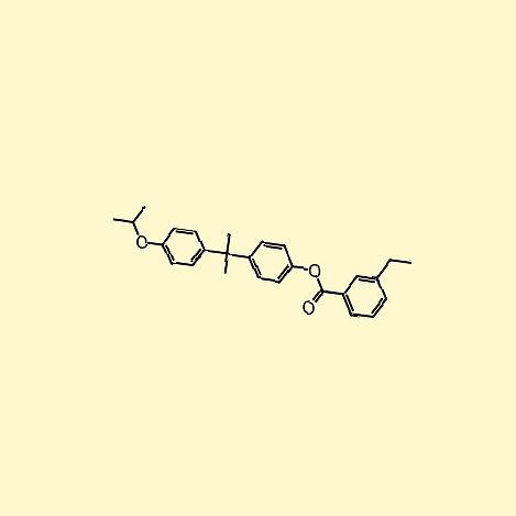 CCc1cccc(C(=O)Oc2ccc(C(C)(C)c3ccc(OC(C)C)cc3)cc2)c1